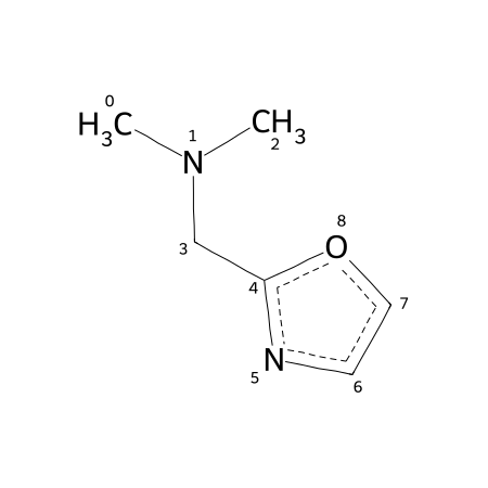 CN(C)Cc1ncco1